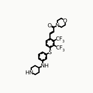 O=C(C=Cc1ccc(Sc2cccc(NC3CCNCC3)c2)c(C(F)(F)F)c1C(F)(F)F)N1CCOCC1